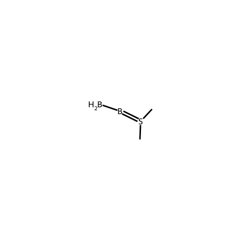 BB=S(C)C